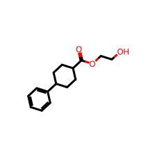 O=C(OCCO)C1CCC(c2ccccc2)CC1